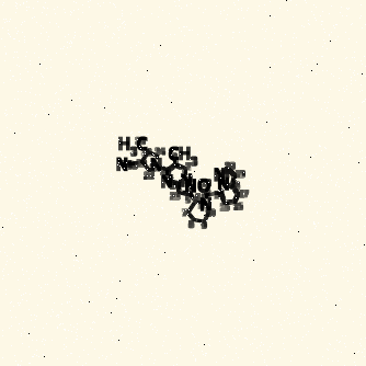 Cc1cn2nc([C@@H]3CCCCN3C(=O)c3cccc4ccnn34)cc2nc1N1C[C@@H](C#N)[C@@H](C)C1